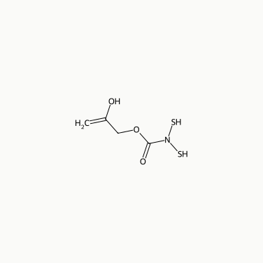 C=C(O)COC(=O)N(S)S